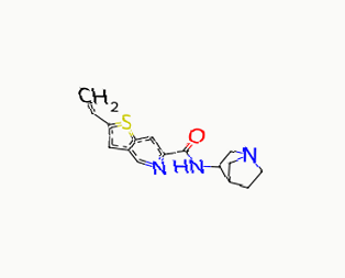 C=Cc1cc2cnc(C(=O)NC3CN4CCC3C4)cc2s1